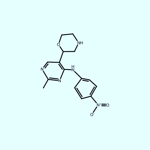 Cc1ncc(C2CNCCO2)c(Nc2ccc([N+](=O)[O-])cc2)n1